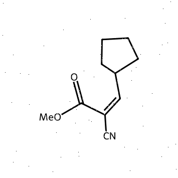 COC(=O)C(C#N)=CC1CCCC1